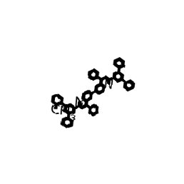 CC1C=CC=CC1c1cc(-c2ccccc2)cc(-c2cc(-c3ccccc3)c3cc(-c4ccc5nc(-c6cc(-c7ccccc7)cc(-c7ccccc7)c6)cc(-c6ccccc6)c5c4)ccc3n2)c1